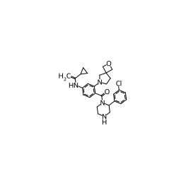 C=C(Nc1ccc(C(=O)N2CCNCC2c2cccc(Cl)c2)c(N2CCC3(COC3)C2)c1)C1CC1